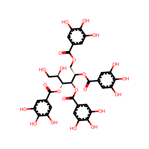 O=C(OC[C@H](OC(=O)c1cc(O)c(O)c(O)c1)[C@@H](OC(=O)c1cc(O)c(O)c(O)c1)[C@H](OC(=O)c1cc(O)c(O)c(O)c1)[C@H](O)CO)c1cc(O)c(O)c(O)c1